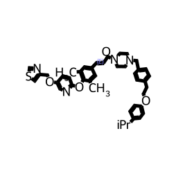 Cc1cc(/C=C/C(=O)N2CCN(Cc3ccc(CCOc4ccc(C(C)C)cc4)cc3)CC2)cc(C)c1Oc1ccc(OCc2cscn2)cn1